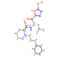 CSc1nnc(C(=O)[C@H](CC(C)C)NC(=O)[C@@H]2CCCCN2CCCc2ccccc2)o1